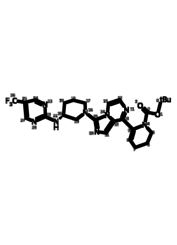 CC(C)(C)OC(=O)N1CCCC=C1c1nccn2c(N3CCC[C@@H](Nc4ncc(C(F)(F)F)cn4)C3)ncc12